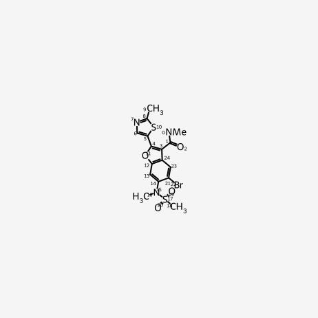 CNC(=O)c1c(-c2cnc(C)s2)oc2cc(N(C)S(C)(=O)=O)c(Br)cc12